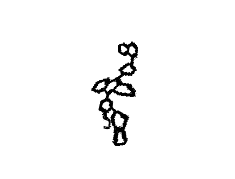 c1ccc2c(-c3ccc(-c4c5ccccc5c(-c5ccc6sc7c8ccccc8ccc7c6c5)c5ccccc45)cc3)cccc2c1